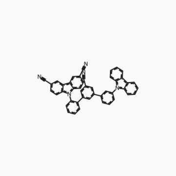 N#Cc1cc(-c2cccc(-n3c4ccccc4c4ccccc43)c2)cc(-c2ccccc2-n2c3ccc(C#N)cc3c3cc(C#N)ccc32)c1